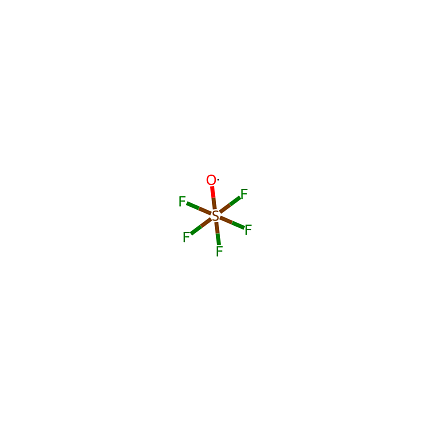 [O]S(F)(F)(F)(F)F